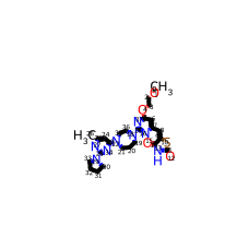 COCCOc1cc(C=C2SC(=O)NC2=O)nc(N2CCCN(c3cc(C)nc(N4CCCC4)n3)CC2)n1